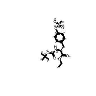 CCOC(=O)[C@H](Cc1ccc(OS(C)(=O)=O)cc1)NC(=O)OC(C)(C)C